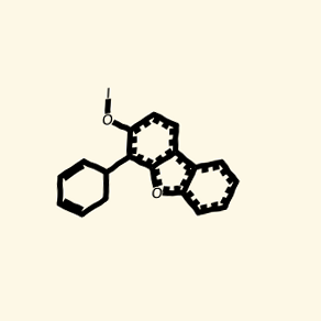 IOc1ccc2c(oc3ccccc32)c1C1C=CC=CC1